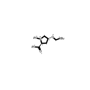 CC(C)C(=O)[C@@H]1C[C@@H](OCC(C)(C)C)CN1C(C)C